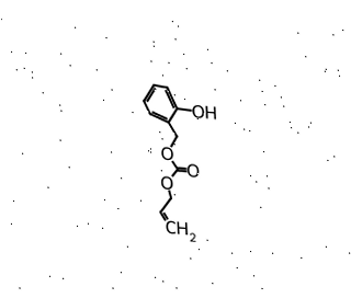 C=CCOC(=O)OCc1ccccc1O